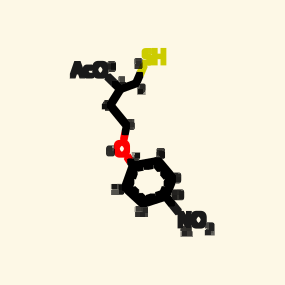 CC(=O)OC(CS)CCOc1ccc([N+](=O)[O-])cc1